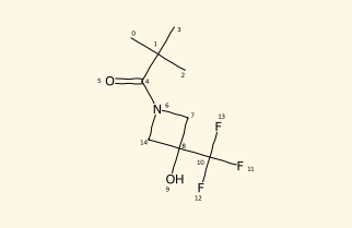 CC(C)(C)C(=O)N1CC(O)(C(F)(F)F)C1